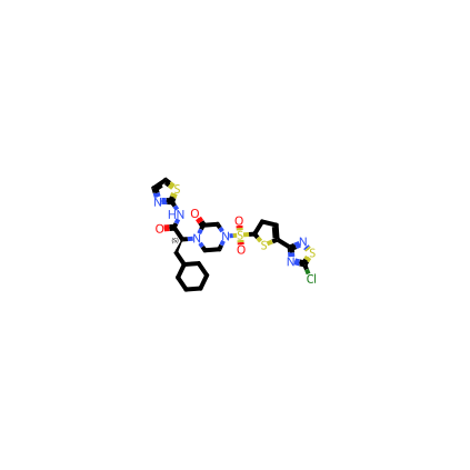 O=C(Nc1nccs1)[C@H](CC1CCCCC1)N1CCN(S(=O)(=O)C2CC=C(c3nsc(Cl)n3)S2)CC1=O